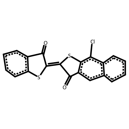 O=C1/C(=C2\Sc3c(cc4ccccc4c3Cl)C2=O)Sc2ccccc21